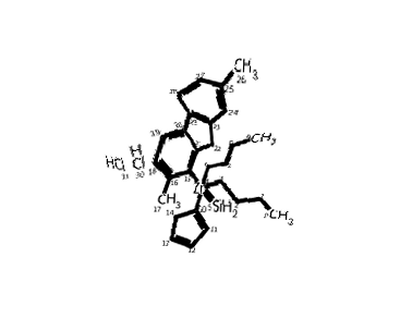 CCC[CH2][Zr](=[SiH2])([CH2]CCC)([C]1=CC=CC1)[c]1c(C)ccc2c1Cc1cc(C)ccc1-2.Cl.Cl